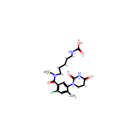 Cc1cc(F)c(C(=O)N(C)CCCCCNC(=O)O)cc1N1CCC(=O)NC1=O